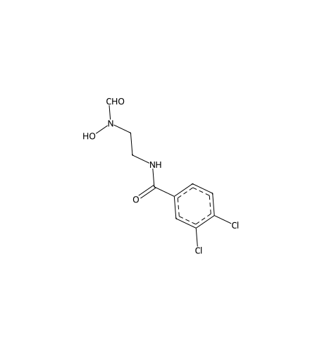 O=CN(O)CCNC(=O)c1ccc(Cl)c(Cl)c1